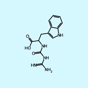 N=C(N)NC(=O)NC(Cc1c[nH]c2ccccc12)C(=O)O